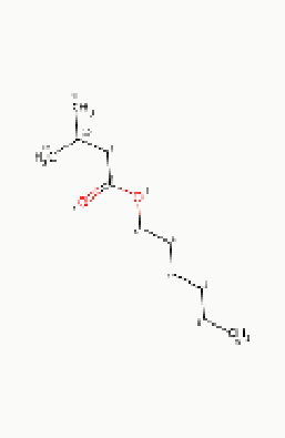 CCCCCCOC(=O)C[C](C)C